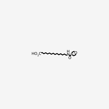 O=C(O)CCCCCCCCCCCCCCNC(=O)N1CCOCC1